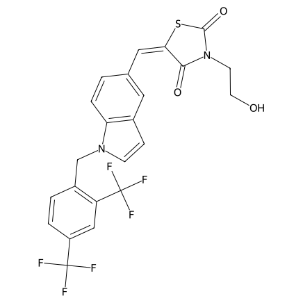 O=C1SC(=Cc2ccc3c(ccn3Cc3ccc(C(F)(F)F)cc3C(F)(F)F)c2)C(=O)N1CCO